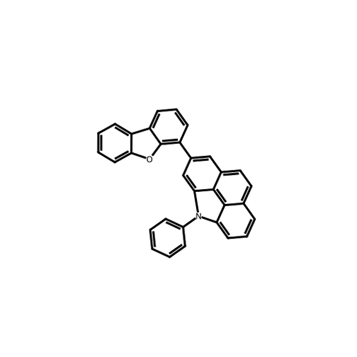 c1ccc(-n2c3cccc4ccc5cc(-c6cccc7c6oc6ccccc67)cc2c5c43)cc1